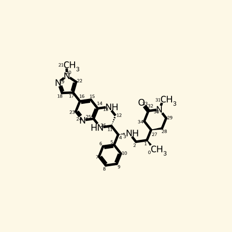 C[C@@H](CN[C@H](c1ccccc1)[C@H]1CNc2cc(-c3cnn(C)c3)cnc2N1)[C@@H]1CCN(C)C(=O)C1